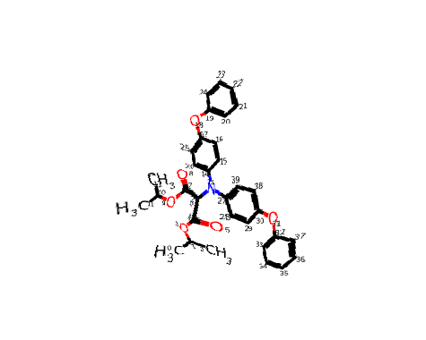 CC(C)OC(=O)C(C(=O)OC(C)C)N(c1ccc(Oc2ccccc2)cc1)c1ccc(Oc2ccccc2)cc1